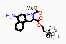 COC(=O)NC(Cc1ccc(N)c2ccccc12)C(=O)OCC[Si](C)(C)C